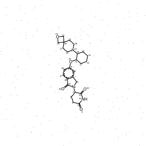 O=C1CCC(N2Cc3cc(OC4CCCCC4N4CCC5(CC4)COC5)ccc3C2=O)C(=O)N1